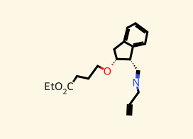 C#CC/N=C/[C@H]1c2ccccc2C[C@H]1OCCCC(=O)OCC